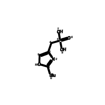 CC(C)(C)c1nc(CP(=O)(O)O)co1